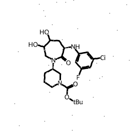 CC(C)(C)OC(=O)N1CCC[C@@H](N2CC(O)C(O)C[C@@H](Nc3cc(F)cc(Cl)c3)C2=O)C1